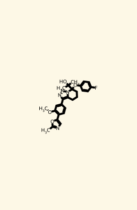 COc1cc(-c2nnn3c2CCCC3(Oc2ccc(F)cc2)C(C)(C)O)ccc1-c1cnc(C)o1